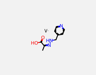 CC(=NNCc1ccncc1)C(=O)O.[V]